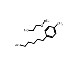 CC(=O)OCCCCCc1ccc(C)cc1.CCCCOCCO